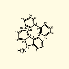 NC1c2ccccc2-c2ccccc21.c1ccc(-c2ccccc2)cc1